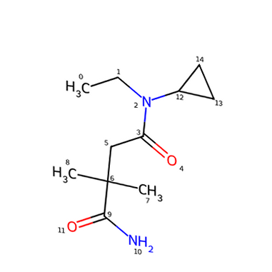 CCN(C(=O)CC(C)(C)C(N)=O)C1CC1